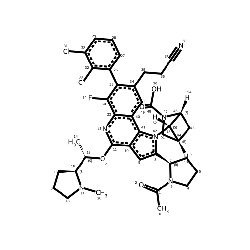 CC(=O)N1CCC[C@@H]1c1cc2c(O[C@@H](C)[C@@H]3CCCN3C)nc3c(F)c(-c4cccc(Cl)c4Cl)c(CCC#N)cc3c2n1[C@H]1[C@@H]2C[C@H]1N(C(=O)O)C2